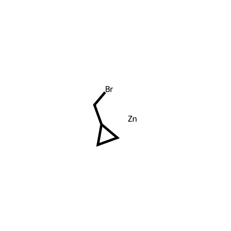 BrCC1CC1.[Zn]